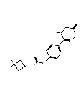 CC1CC(=O)NN=C1c1ccc(NC(=O)OC2CC(C)(C)C2)cc1